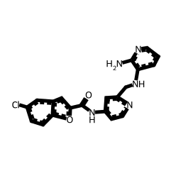 Nc1ncccc1NCc1cc(NC(=O)c2cc3cc(Cl)ccc3o2)ccn1